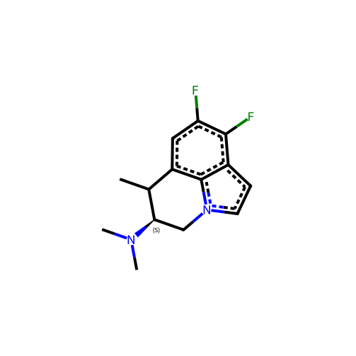 CC1c2cc(F)c(F)c3ccn(c23)C[C@H]1N(C)C